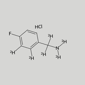 Cl.[2H]c1c(F)ccc(C([2H])([2H])N([2H])[2H])c1[2H]